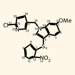 COc1ccc2c(Sc3ccccc3[N+](=O)[O-])cn(Cc3ccc(Cl)nc3)c2c1